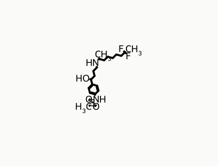 CC(CCCCCC(C)(F)F)NCCCC(O)c1ccc(NS(C)(=O)=O)cc1